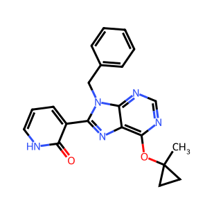 CC1(Oc2ncnc3c2nc(-c2ccc[nH]c2=O)n3Cc2ccccc2)CC1